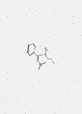 CCCC(=O)C(=CN(C)C)c1ccccc1